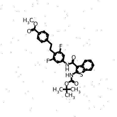 COC(=O)c1ccc(CCc2c(F)cc(NC(=O)c3c(NC(=O)OC(C)(C)C)sc4ccccc34)cc2F)cc1